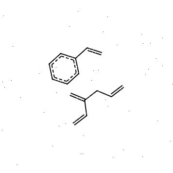 C=CCC(=C)C=C.C=Cc1ccccc1